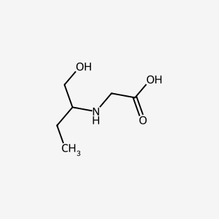 CCC(CO)NCC(=O)O